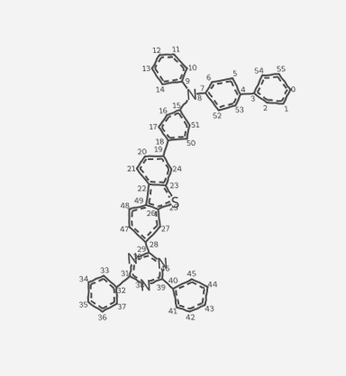 c1ccc(-c2ccc(N(c3ccccc3)c3ccc(-c4ccc5c(c4)sc4cc(-c6nc(-c7ccccc7)nc(-c7ccccc7)n6)ccc45)cc3)cc2)cc1